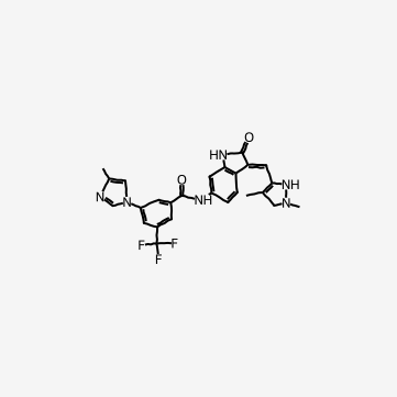 CC1=C(C=C2C(=O)Nc3cc(NC(=O)c4cc(-n5cnc(C)c5)cc(C(F)(F)F)c4)ccc32)NN(C)C1